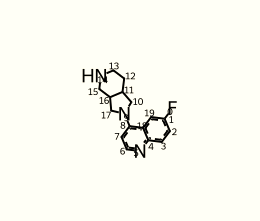 Fc1ccc2nccc(N3CC4CCNCC4C3)c2c1